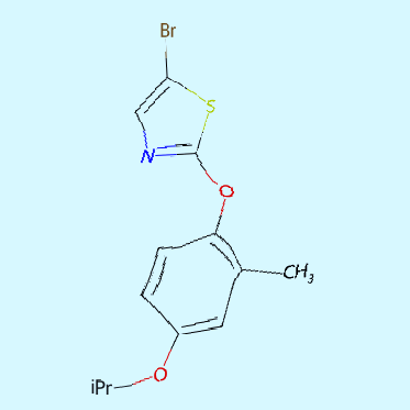 Cc1cc(OC(C)C)ccc1Oc1ncc(Br)s1